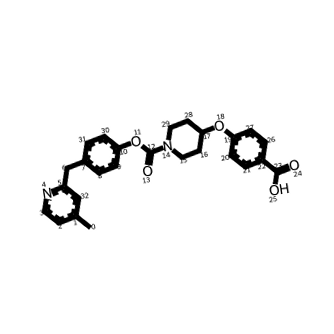 Cc1ccnc(Cc2ccc(OC(=O)N3CCC(Oc4ccc(C(=O)O)cc4)CC3)cc2)c1